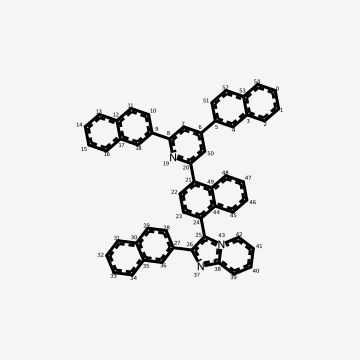 c1ccc2cc(-c3cc(-c4ccc5ccccc5c4)nc(-c4ccc(-c5c(-c6ccc7ccccc7c6)nc6ccccn56)c5ccccc45)c3)ccc2c1